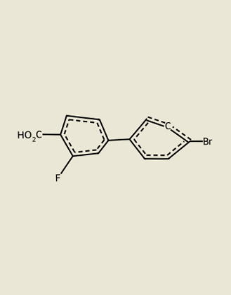 O=C(O)c1ccc(-c2ccc(Br)cc2)cc1F